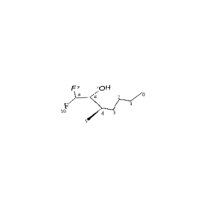 CCCC[C@@H](C)C(O)C(F)F